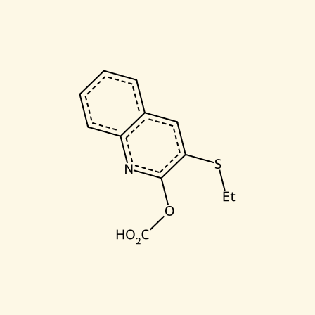 CCSc1cc2ccccc2nc1OC(=O)O